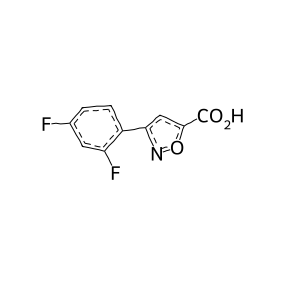 O=C(O)c1cc(-c2ccc(F)cc2F)no1